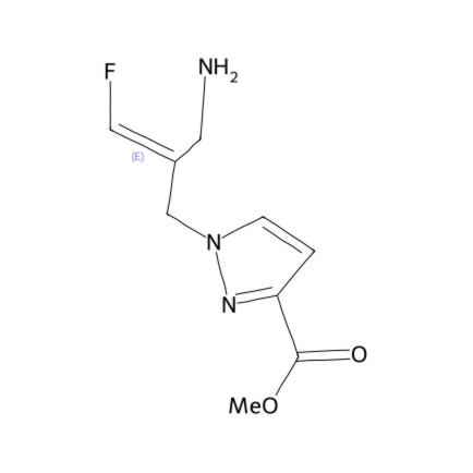 COC(=O)c1ccn(C/C(=C/F)CN)n1